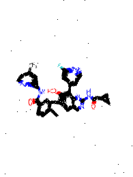 Cc1ccc(C(=O)Nc2cc(C(F)(F)F)ccn2)cc1-c1cc2cnc(NC(=O)C3CC3)nc2c(-c2ccnc(F)c2)c1O